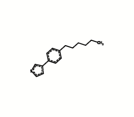 CCCCCCc1ccc(-c2ccsc2)cc1